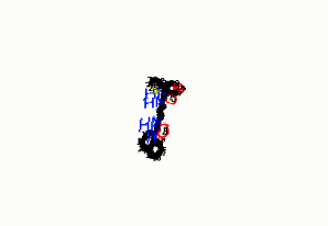 O=C(NCCCNC(=O)N1CCCC2CCCCC21)NC1(c2cccs2)CCOCC1